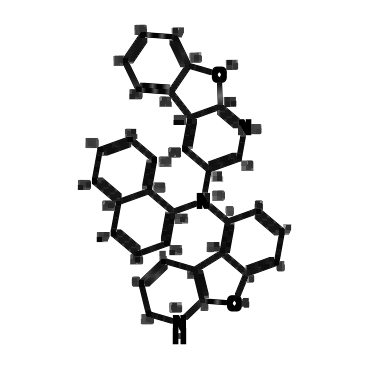 C1=Cc2c(oc3cccc(N(c4cnc5oc6ccccc6c5c4)c4cccc5ccccc45)c23)NC1